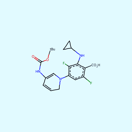 CC(C)(C)OC(=O)NC1=CN(c2cc(F)c(C(=O)O)c(NC3CC3)c2F)CC=C1